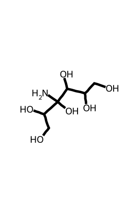 NC(O)(C(O)CO)C(O)C(O)CO